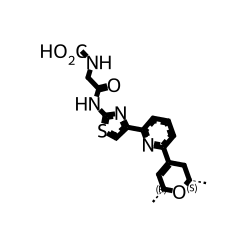 C[C@@H]1C=C(c2cccc(-c3csc(NC(=O)CNC(=O)O)n3)n2)C[C@H](C)O1